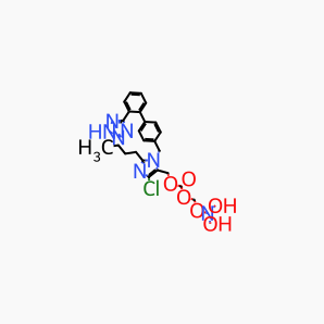 CCCCc1nc(Cl)c(COC(=O)OCON(O)O)n1Cc1ccc(-c2ccccc2-c2nn[nH]n2)cc1